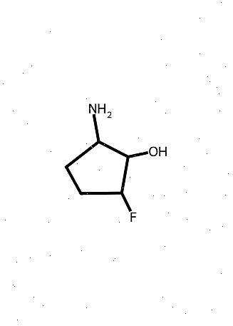 NC1CCC(F)C1O